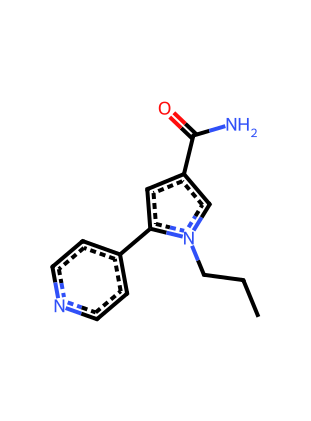 CCCn1cc(C(N)=O)cc1-c1ccncc1